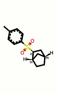 Cc1ccc(S(=O)(=O)[C@H]2C[C@@H]3CC[C@H]2C3)cc1